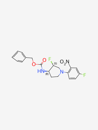 O=C(N[C@@H]1CCN(c2ccc(F)cc2[N+](=O)[O-])C[C@@H]1F)OCc1ccccc1